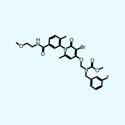 COCCNC(=O)c1ccc(C)c(-n2c(C)cc(OCN(Cc3cccc(F)c3)C(=O)OC)c(Br)c2=O)c1